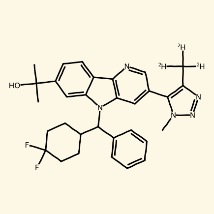 [2H]C([2H])([2H])c1nnn(C)c1-c1cnc2c3ccc(C(C)(C)O)cc3n(C(c3ccccc3)C3CCC(F)(F)CC3)c2c1